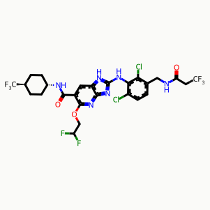 O=C(CC(F)(F)F)NCc1ccc(Cl)c(Nc2nc3nc(OCC(F)F)c(C(=O)N[C@H]4CC[C@H](C(F)(F)F)CC4)cc3[nH]2)c1Cl